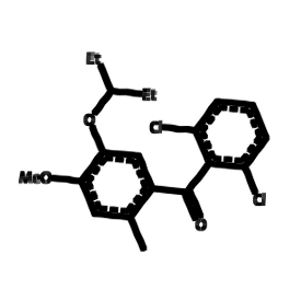 CCC(CC)Oc1cc(C(=O)c2c(Cl)cccc2Cl)c(C)cc1OC